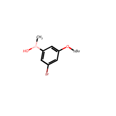 CCCCOc1cc(Br)cc(B(C)O)c1